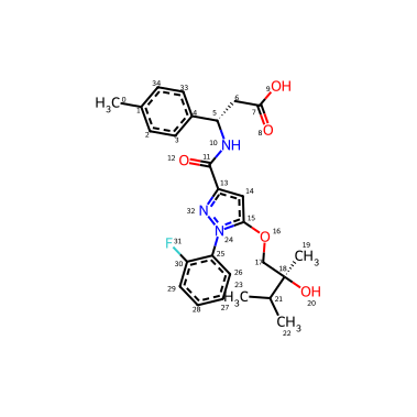 Cc1ccc([C@H](CC(=O)O)NC(=O)c2cc(OC[C@@](C)(O)C(C)C)n(-c3ccccc3F)n2)cc1